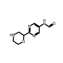 O=CNc1cnc(C2CNCCO2)nc1